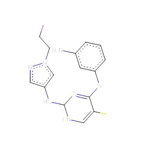 Nc1cccc(NC2=NC(Nc3cnn(CCI)c3)NC=C2S)c1